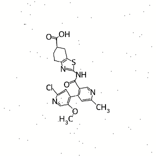 COc1cnc(Cl)cc1-c1cc(C)ncc1C(=O)Nc1nc2c(s1)C[C@H](C(=O)O)CC2